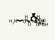 NCCCONC(=O)[C@@H]1CC2(CC2)[C@@H]2CN1C(=O)N2OS(=O)(=O)O